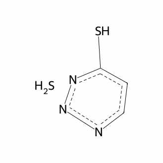 S.Sc1ccnnn1